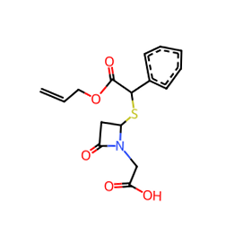 C=CCOC(=O)C(SC1CC(=O)N1CC(=O)O)c1ccccc1